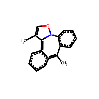 CC1=CON2C1=c1ccccc1=C(C)c1ccccc12